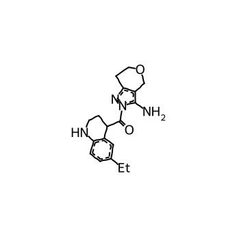 CCc1ccc2c(c1)C(C(=O)n1nc3c(c1N)COCC3)CCN2